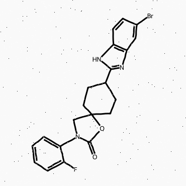 O=C1OC2(CCC(c3nc4cc(Br)ccc4[nH]3)CC2)CN1c1ccccc1F